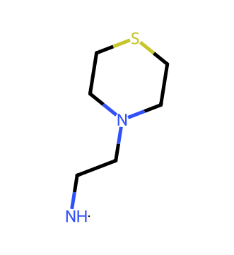 [NH]CCN1CCSCC1